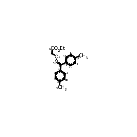 CCOC(=O)CON=C(c1ccc(C)cc1)c1ccc(C)cc1